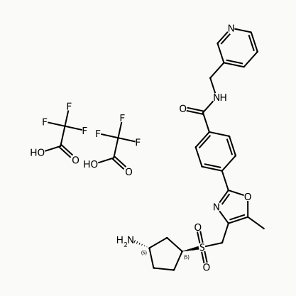 Cc1oc(-c2ccc(C(=O)NCc3cccnc3)cc2)nc1CS(=O)(=O)[C@H]1CC[C@H](N)C1.O=C(O)C(F)(F)F.O=C(O)C(F)(F)F